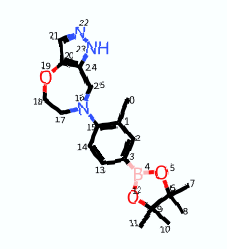 Cc1cc(B2OC(C)(C)C(C)(C)O2)ccc1N1CCOc2cn[nH]c2C1